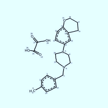 Cc1ccc(CN2CCN(c3ccc4c(c3)CCCO4)CC2)cc1.O=C(O)C(=O)O